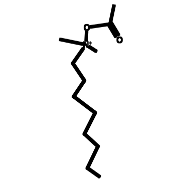 CCCCCCCC[N+](C)(C)OC(C)=O